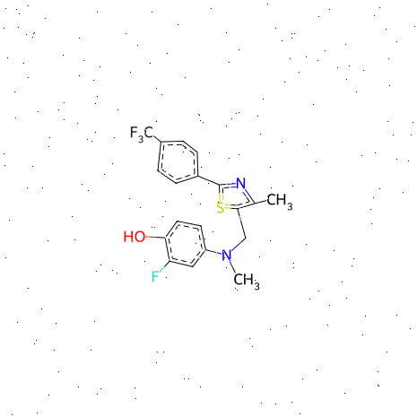 Cc1nc(-c2ccc(C(F)(F)F)cc2)sc1CN(C)c1ccc(O)c(F)c1